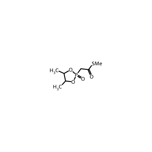 CSC(=O)CP1(=O)OC(C)C(C)O1